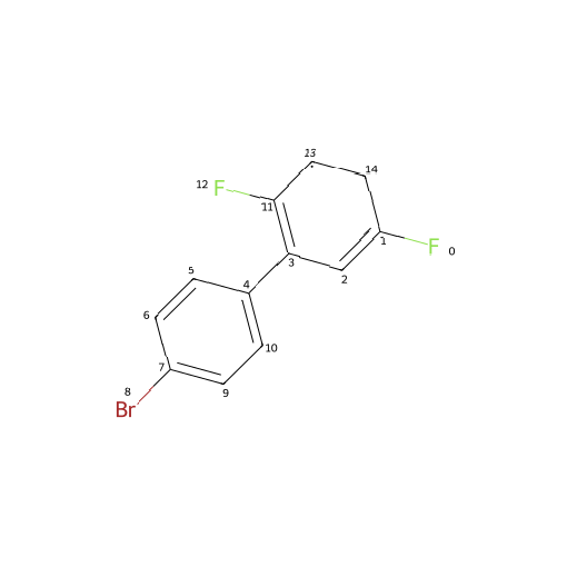 FC1=CC(c2ccc(Br)cc2)=C(F)[CH]C1